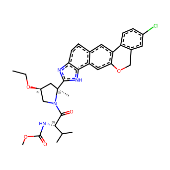 CCO[C@@H]1CN(C(=O)[C@@H](NC(=O)OC)C(C)C)[C@](C)(c2nc3ccc4cc5c(cc4c3[nH]2)OCc2cc(Cl)ccc2-5)C1